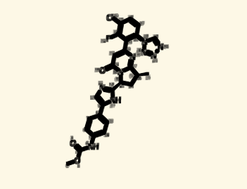 COC(=O)Nc1ccc(-c2cnc([C@@H]3C[C@H](C)c4nc(-c5c(-n6cnnn6)ccc(Cl)c5F)cc(=O)n43)[nH]2)cc1